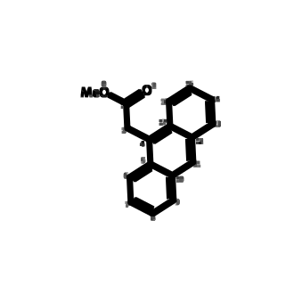 COC(=O)Cc1c2ccccc2cc2ccccc12